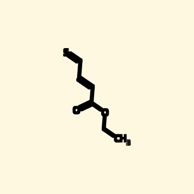 CCOC(=O)C=CC=S